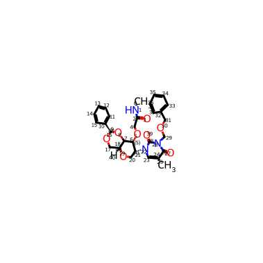 CNC(=O)CO[C@@H]1C2O[C@H](c3ccccc3)OC[C@H]2OC[C@H]1n1cc(C)c(=O)n(COCc2ccccc2)c1=O